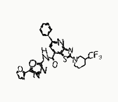 O=C(Nc1nnc(-c2ccco2)o1)c1cc(-c2ccccc2)nc2nc(N3CCCC(C(F)(F)F)C3)sc12